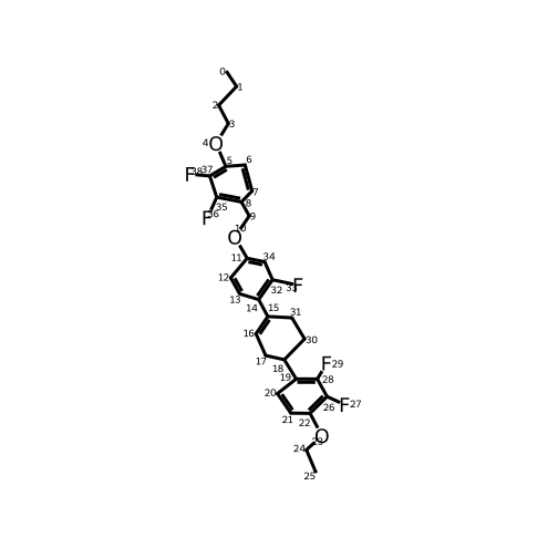 CCCCOc1ccc(COc2ccc(C3=CCC(c4ccc(OCC)c(F)c4F)CC3)c(F)c2)c(F)c1F